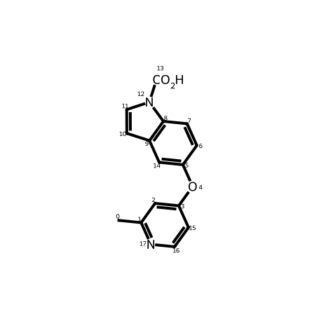 Cc1cc(Oc2ccc3c(ccn3C(=O)O)c2)ccn1